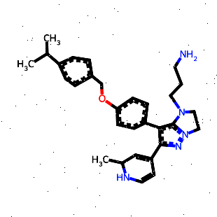 CC1C=C(c2nn3c(c2-c2ccc(OCc4ccc(C(C)C)cc4)cc2)N(CCCN)CC3)C=CN1